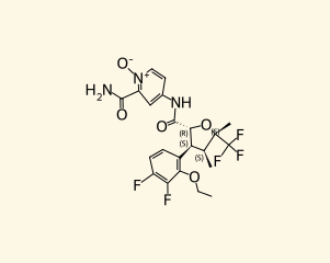 CCOc1c([C@H]2[C@H](C(=O)Nc3cc[n+]([O-])c(C(N)=O)c3)O[C@](C)(C(F)(F)F)[C@H]2C)ccc(F)c1F